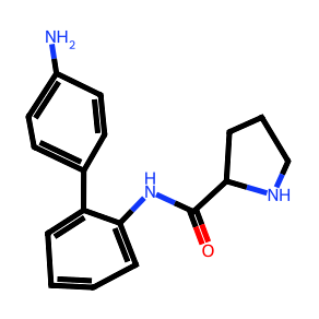 Nc1ccc(-c2ccccc2NC(=O)C2CCCN2)cc1